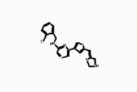 Clc1ccccc1CNc1cncc(-c2csc(C=C3CNCS3)c2)n1